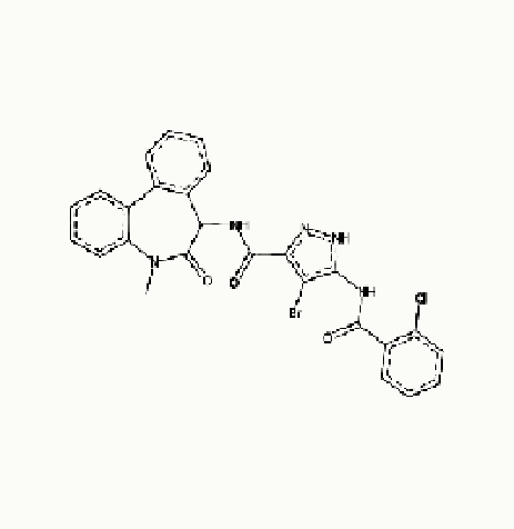 CN1C(=O)C(NC(=O)c2n[nH]c(NC(=O)c3ccccc3Cl)c2Br)c2ccccc2-c2ccccc21